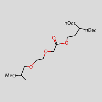 CCCCCCCCCCC(CCCCCCCC)CCOC(=O)COCCOCC(C)OC